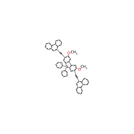 COc1cc2c(cc1C#Cc1cc3ccccc3c3ccccc13)[Si](c1ccccc1)(c1ccccc1)c1cc(C#Cc3cc4ccccc4c4ccccc34)c(OC)cc1-2